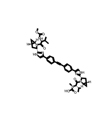 COC(=O)N[C@H](C(=O)N1[C@H](c2nc(-c3ccc(C#Cc4ccc(-c5c[nH]c([C@@H]6C[C@@H]7C[C@@H]7N6C(=O)[C@H](C(C)C)N(C)C(=O)O)n5)cc4)cc3)c[nH]2)C[C@@H]2C[C@@H]21)C(C)C